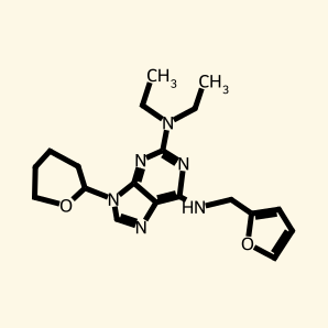 CCN(CC)c1nc(NCc2ccco2)c2ncn(C3CCCCO3)c2n1